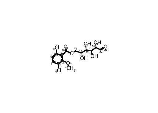 COc1c(Cl)ccc(Cl)c1C(=O)OC[C@@H](O)[C@@H](O)[C@H](O)[C@@H](O)C=O